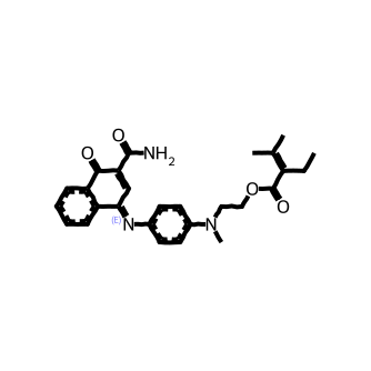 CCC(C(=O)OCCN(C)c1ccc(/N=C2\C=C(C(N)=O)C(=O)c3ccccc32)cc1)=C(C)C